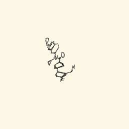 N#Cc1cc(F)ccc1-c1ccc(C(=O)N(C2CC2)C2CCc3nn(C=O)cc3C2)cc1